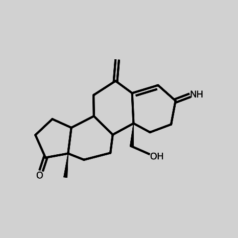 C=C1CC2C(CC[C@]3(C)C(=O)CCC23)[C@@]2(CO)CCC(=N)C=C12